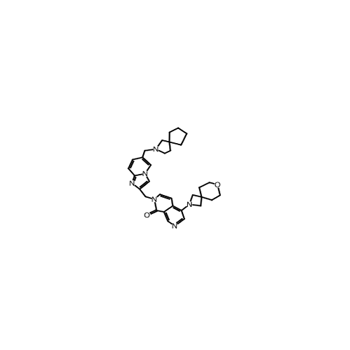 O=c1c2cncc(N3CC4(CCOCC4)C3)c2ccn1Cc1cn2cc(CN3CCC4(CCCC4)C3)ccc2n1